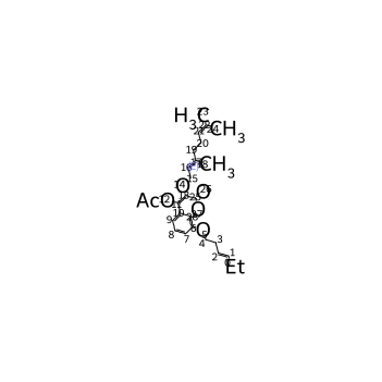 CCC=CCCOc1cccc2c(OC(C)=O)c(OC/C=C(\C)CCC=C(C)C)c(=O)oc12